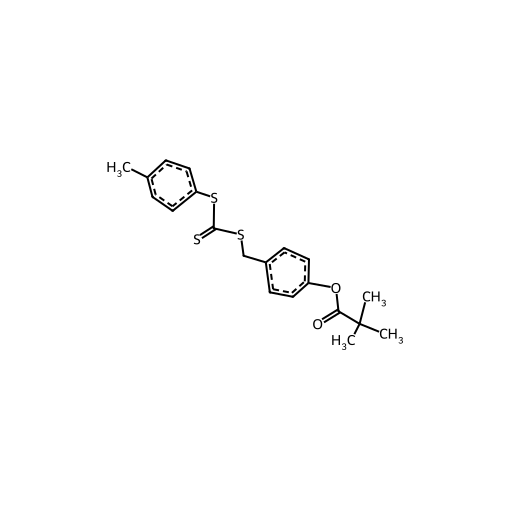 Cc1ccc(SC(=S)SCc2ccc(OC(=O)C(C)(C)C)cc2)cc1